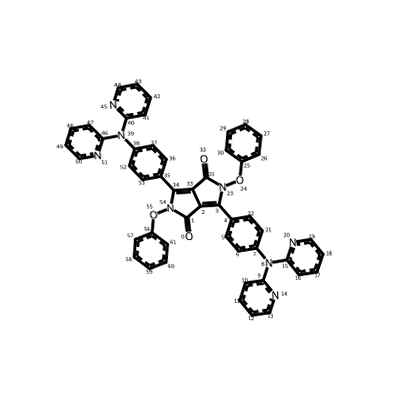 O=C1C2=C(c3ccc(N(c4ccccn4)c4ccccn4)cc3)N(Oc3ccccc3)C(=O)C2=C(c2ccc(N(c3ccccn3)c3ccccn3)cc2)N1Oc1ccccc1